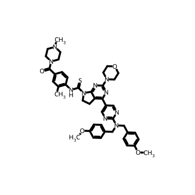 COc1ccc(CN(Cc2ccc(OC)cc2)c2ncc(-c3nc(N4CCOCC4)nc4c3CCN4C(=S)Nc3ccc(C(=O)N4CCN(C)CC4)cc3C)cn2)cc1